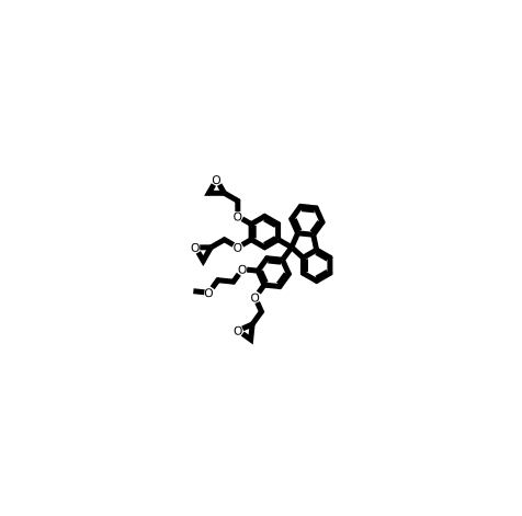 COCCOc1cc(C2(c3ccc(OCC4CO4)c(OCC4CO4)c3)c3ccccc3-c3ccccc32)ccc1OCC1CO1